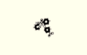 O=[N+]([O-])c1ccc(Oc2ccccc2S(=O)(=O)Nc2ccccn2)cc1